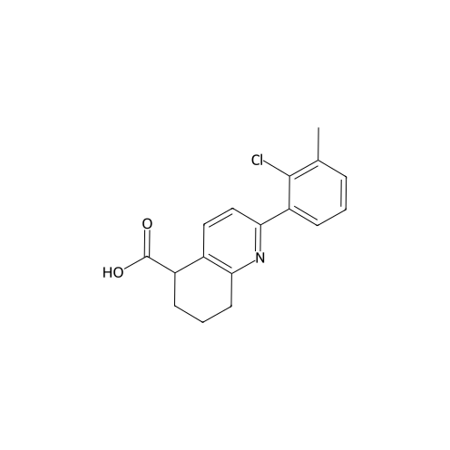 Cc1cccc(-c2ccc3c(n2)CCCC3C(=O)O)c1Cl